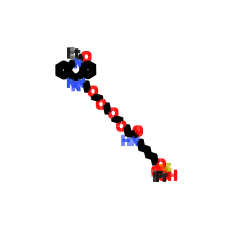 CCC(=O)N1Cc2ccccc2-c2nnn(CCOCCOCCOCCOCCC(=O)NCCCCCCOP(O)(=S)OC(C)C)c2-c2ccccc21